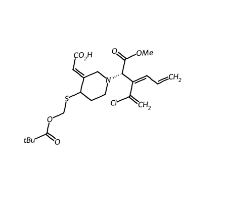 C=C/C=C(\C(=C)Cl)[C@@H](C(=O)OC)N1CCC(SCOC(=O)C(C)(C)C)/C(=C/C(=O)O)C1